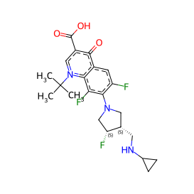 CC(C)(C)n1cc(C(=O)O)c(=O)c2cc(F)c(N3C[C@H](CNC4CC4)[C@H](F)C3)c(F)c21